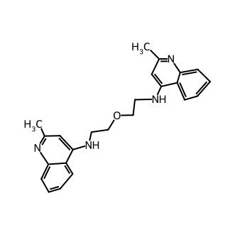 Cc1cc(NCCOCCNc2cc(C)nc3ccccc23)c2ccccc2n1